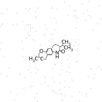 CC1CCc2cc3c(cc2OC1)CCC(C(C)C)C(=O)N3